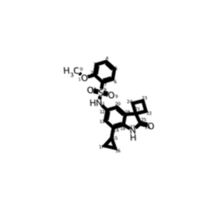 COc1ccccc1S(=O)(=O)Nc1cc(C2CC2)c2c(c1)C1(CCC1)C(=O)N2